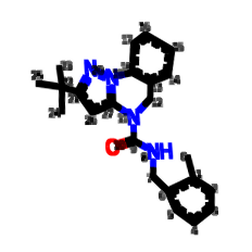 Cc1ccccc1CNC(=O)N1Cc2ccccc2-n2nc(C(C)(C)C)cc21